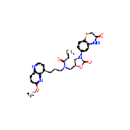 CCC(=O)N(CCCc1ccnc2ccc(OC)nc12)CC1CN(c2ccc3c(c2)NC(=O)CS3)C(=O)O1